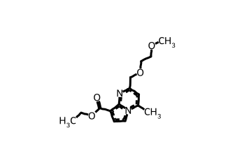 CCOC(=O)c1ccn2c(C)cc(COCCOC)nc12